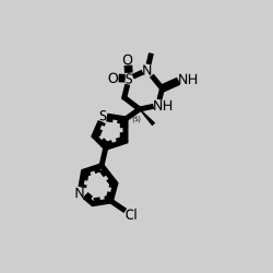 CN1C(=N)N[C@](C)(c2cc(-c3cncc(Cl)c3)cs2)CS1(=O)=O